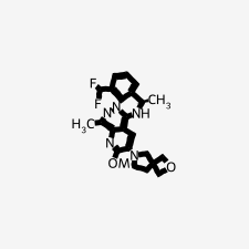 COc1nc2c(C)nnc(N[C@H](C)c3cccc(C(F)F)c3)c2cc1N1CCC2(COC2)C1